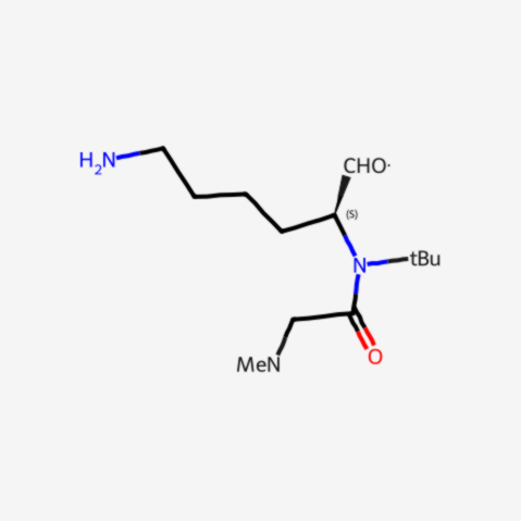 CNCC(=O)N([C@H]([C]=O)CCCCN)C(C)(C)C